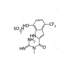 CN(C(=N)N)C(=O)c1cc2c(C(F)(F)F)ccc(O)c2[nH]1.CS(=O)(=O)O